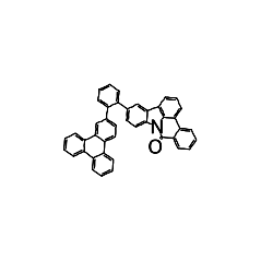 O=c1c2ccccc2c2cccc3c4cc(-c5ccccc5-c5ccc6c7ccccc7c7ccccc7c6c5)ccc4n1c23